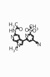 CC(=O)Nc1cc2c(-c3cc(C#N)cc(S(C)(=O)=O)n3)cn(C)c2cn1